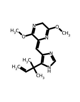 C=CC(C)(C)c1[nH]cnc1/C=C1\N=C(OC)CN=C1OC